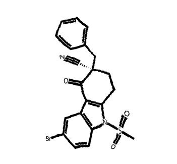 CS(=O)(=O)n1c2c(c3cc(Br)ccc31)C(=O)[C@@](C#N)(Cc1ccccc1)CC2